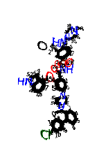 CC(c1ccccc1-c1ccc(Cl)cc1)N1CCN(c2ccc(C(=O)NS(=O)(=O)c3ccc(NN4CCN(C)CC4)c([N+](=O)[O-])c3)c(Oc3cccc4[nH]ccc34)c2)CC1